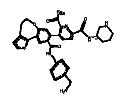 COC(=O)c1nc(C(=O)N[C@H]2CCCNC2)ccc1-c1cc2c(cc1C(=O)Nc1ccc(CN)cc1)-c1sccc1CCO2